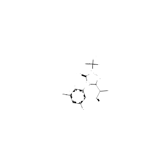 CC(C=S)C1NN(C(Cl)(Cl)Cl)C(=O)N1c1cc(Cl)cc(Cl)c1